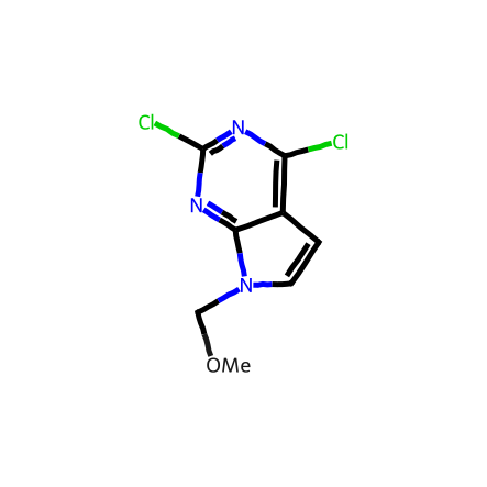 COCn1ccc2c(Cl)nc(Cl)nc21